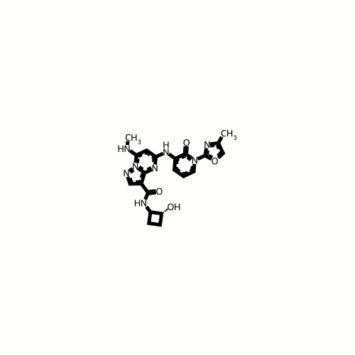 CNc1cc(Nc2cccn(-c3nc(C)co3)c2=O)nc2c(C(=O)NC3CC[C@H]3O)cnn12